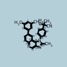 Cc1cc(C)cc(-c2ccc3ncc4nc(C)n(-c5ccc(C(C)(C)C#N)cc5)c4c3c2)c1